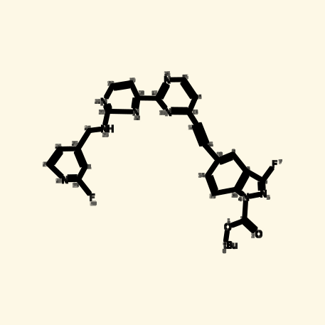 CC(C)(C)OC(=O)n1nc(F)c2cc(C#Cc3ccnc(-c4ccnc(NCc5ccnc(F)c5)n4)n3)ccc21